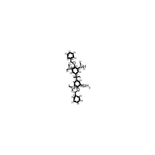 C[SiH](C)c1cc(C(C)(C)c2cc([SiH](C)C)c(OCc3ccccc3)c([SiH](C)C)c2)cc([SiH3])c1OCc1ccccc1